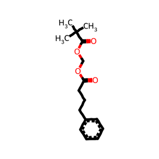 CC(C)(C)C(=O)OCOC(=O)CCCc1ccccc1